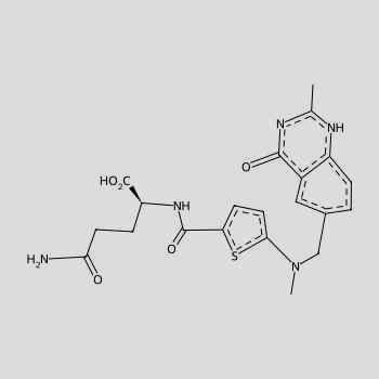 Cc1nc(=O)c2cc(CN(C)c3ccc(C(=O)N[C@@H](CCC(N)=O)C(=O)O)s3)ccc2[nH]1